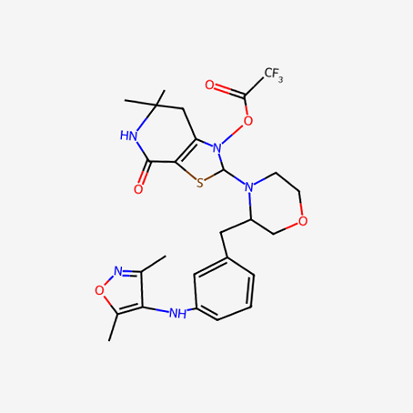 Cc1noc(C)c1Nc1cccc(CC2COCCN2C2SC3=C(CC(C)(C)NC3=O)N2OC(=O)C(F)(F)F)c1